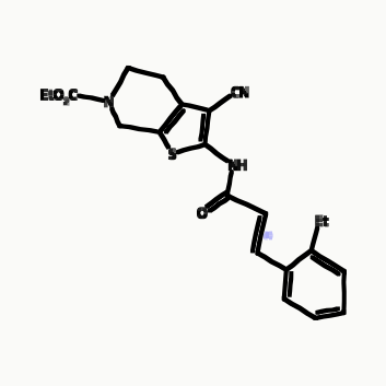 CCOC(=O)N1CCc2c(sc(NC(=O)/C=C/c3ccccc3CC)c2C#N)C1